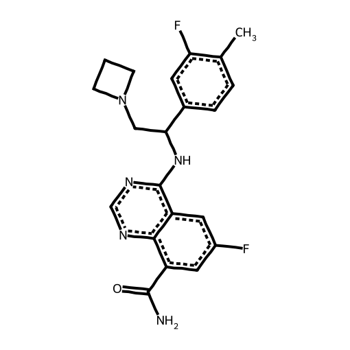 Cc1ccc(C(CN2CCC2)Nc2ncnc3c(C(N)=O)cc(F)cc23)cc1F